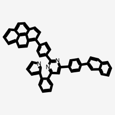 c1cncc(-c2ccccc2-c2cc(-c3ccc(-c4ccc5ccccc5c4)cc3)nc(-c3ccc(-c4ccc5ccc6cccc7ccc4c5c67)cc3)n2)c1